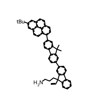 C=CC1(CCCN)c2ccccc2-c2ccc(-c3ccc4c(c3)C(C)(C)c3cc(-c5ccc6ccc7cc(C(C)(C)C)cc8ccc5c6c78)ccc3-4)cc21